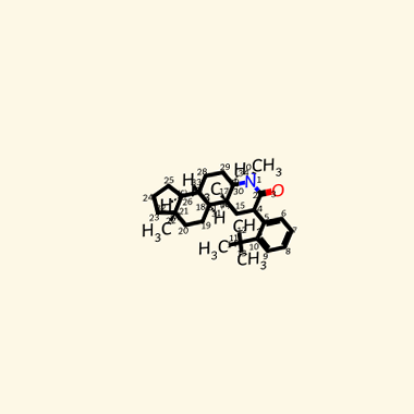 CN1C(=O)C(c2ccccc2C(C)(C)C)C[C@]2(C)[C@H]3CC[C@]4(C)CCC[C@H]4[C@@H]3CC[C@@H]12